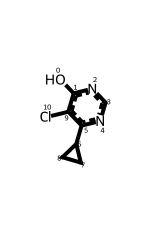 Oc1ncnc(C2CC2)c1Cl